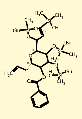 C=CC[C@@H]1O[C@@H](C(/C=C/[Si](C)(C)C)O[Si](C)(C)C(C)(C)C)C(O[Si](C)(C)C(C)(C)C)C(O[Si](C)(C)C(C)(C)C)C1OC(=O)c1ccccc1